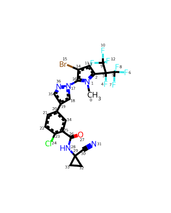 Cn1c(C(F)(C(F)(F)F)C(F)(F)F)cc(Br)c1-n1cc(-c2ccc(Cl)c(C(=O)NC3(C#N)CC3)c2)cn1